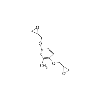 Cc1cc(OCC2CO2)ccc1OCC1CO1